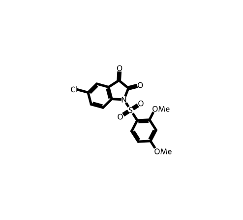 COc1ccc(S(=O)(=O)N2C(=O)C(=O)c3cc(Cl)ccc32)c(OC)c1